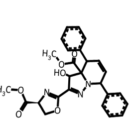 COC(=O)[C@@H]1COC(C2=NN3C(c4ccccc4)C=CC(c4ccccc4)C3(C(=O)OC)C2O)=N1